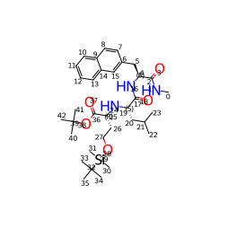 CNC(=O)[C@H](Cc1ccc2ccccc2c1)NC(=O)[C@H](CC(C)C)N[C@H](CCO[Si](C)(C)C(C)(C)C)C(=O)OC(C)(C)C